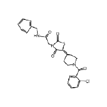 O=C(CN1C(=O)SC(=C2CCN(C(=O)c3ccccc3Cl)CC2)C1=O)NCc1ccccc1